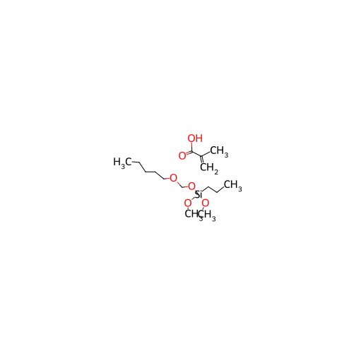 C=C(C)C(=O)O.CCCCCOCO[Si](CCC)(OC)OC